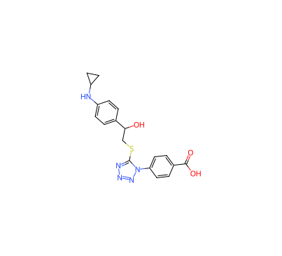 O=C(O)c1ccc(-n2nnnc2SCC(O)c2ccc(NC3CC3)cc2)cc1